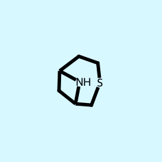 C1CC2CC(CS1)N2